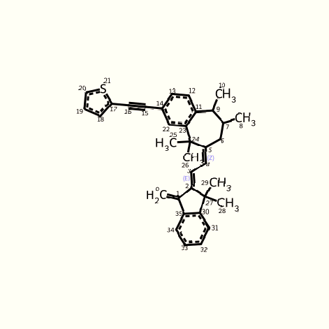 C=C1/C(=C/C=C2/CC(C)C(C)c3ccc(C#Cc4cccs4)cc3C2(C)C)C(C)(C)c2ccccc21